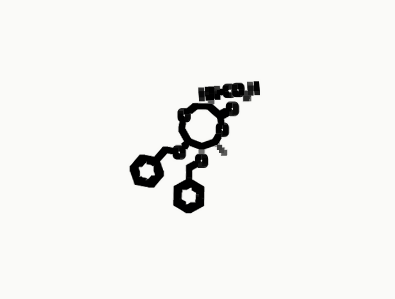 C[C@H]1OC(=O)[C@@H](NC(=O)O)COC[C@H](OCc2ccccc2)[C@H]1OCc1ccccc1